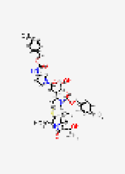 C[C@@H](O)[C@H]1C(=O)N2C(C(=O)O)=C(S[C@H]3C[C@@H]([C@H](CCO)CC(=O)N4CC[C@H](NC(=O)OCc5ccc([N+](=O)[O-])cc5)C4)N(C(=O)OCc4ccc([N+](=O)[O-])cc4)C3)[C@H](C)[C@H]12